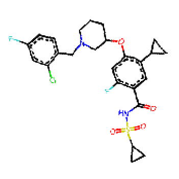 O=C(NS(=O)(=O)C1CC1)c1cc(C2CC2)c(OC2CCCN(Cc3ccc(F)cc3Cl)C2)cc1F